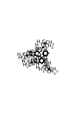 CC(C)(C)OC(=O)NC[C@H]1O[C@H](O[C@H]2[C@@H]3OC4(CCCCC4)O[C@H]3[C@H](NC(=O)OC(C)(C)C)C[C@@H]2NC(=O)OC(C)(C)C)[C@H](NC(=O)OC(C)(C)C)[C@@H](O)[C@@H]1O